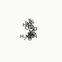 C=C1NC=C(Oc2c(Cl)cc(-n3nc(N)c(=O)[nH]c3=O)cc2Cl)C2=C1C(C)CC2